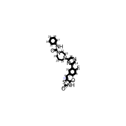 O=C1NC(=O)/C(=C\c2ccc(F)c(-c3cncc(N4CCCN(C(=O)Nc5ccccc5)CC4)n3)c2)S1